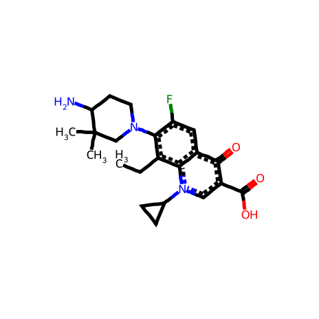 CCc1c(N2CCC(N)C(C)(C)C2)c(F)cc2c(=O)c(C(=O)O)cn(C3CC3)c12